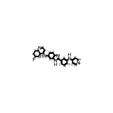 FC1CCC2N=CC=C(Nc3ccc4nc(-c5cccc(Nc6ccncc6)c5)[nH]c4c3)C2C1